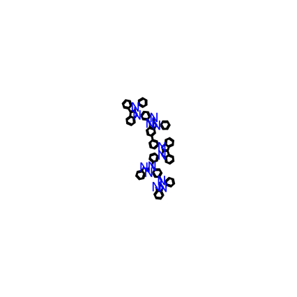 c1ccc(-n2c3ccccc3c3c4ccccc4n(-c4ccc5nc6n(-c7ccccc7)c7cc(-c8cccc(-n9c%10ccccc%10c%10c%11ccccc%11n(-c%11cccc(-n%12c%13ccc(-n%14c%15ccccc%15n%15c%16ccccc%16nc%14%15)cc%13n%13c%14ccccc%14nc%12%13)c%11)c%109)c8)ccc7n6c5c4)c32)cc1